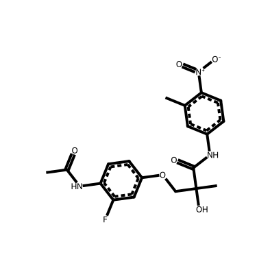 CC(=O)Nc1ccc(OCC(C)(O)C(=O)Nc2ccc([N+](=O)[O-])c(C)c2)cc1F